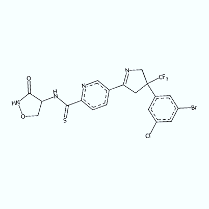 O=C1NOCC1NC(=S)c1ccc(C2=NCC(c3cc(Cl)cc(Br)c3)(C(F)(F)F)C2)cn1